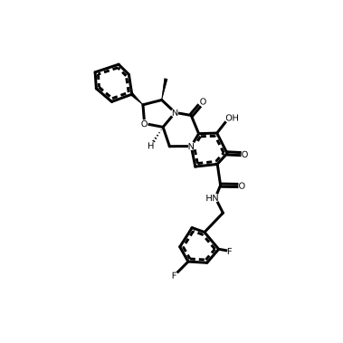 C[C@@H]1[C@H](c2ccccc2)O[C@@H]2Cn3cc(C(=O)NCc4ccc(F)cc4F)c(=O)c(O)c3C(=O)N12